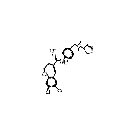 C[N+](C)(Cc1ccc(NC(=O)C2=Cc3cc(Cl)c(Cl)cc3OCC2)cc1)C1CCSC1.[Cl-]